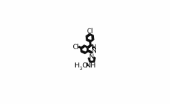 CNC1CCN(c2nnc(-c3ccc(Cl)cc3)c3cc(Cl)ccc23)C1